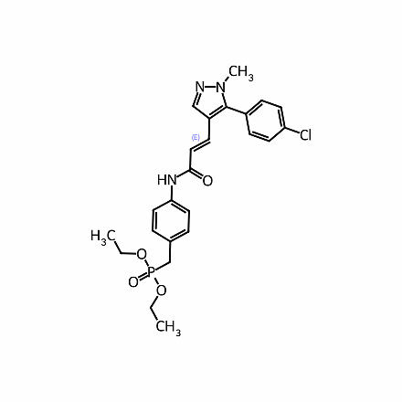 CCOP(=O)(Cc1ccc(NC(=O)/C=C/c2cnn(C)c2-c2ccc(Cl)cc2)cc1)OCC